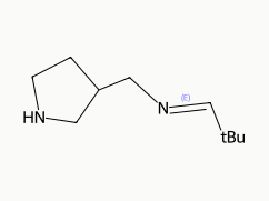 CC(C)(C)/C=N/CC1CCNC1